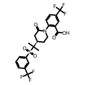 CC(C)([C@@H]1CCN(c2ccc(C(F)(F)F)cc2C(=O)O)C(=O)C1)S(=O)(=O)c1cccc(C(F)(F)F)c1